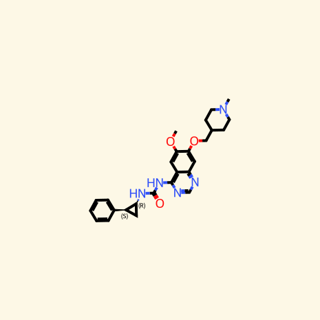 COc1cc2c(NC(=O)N[C@@H]3C[C@H]3c3ccccc3)ncnc2cc1OCC1CCN(C)CC1